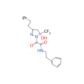 CC(C)CCC1=NN(C(=O)C(=O)NCCc2ccccc2)C(O)(C(F)(F)F)C1